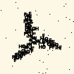 OCCN(CC(F)(F)OC(F)(F)OC(F)(F)C(F)(F)OCF)c1nc(N(CCO)CC(F)(F)OC(F)(F)OC(F)(F)C(F)(F)OC(F)(F)F)nc(N(CCO)CC(F)(F)OC(F)(F)OC(F)(F)C(F)(F)OC(F)(F)F)n1